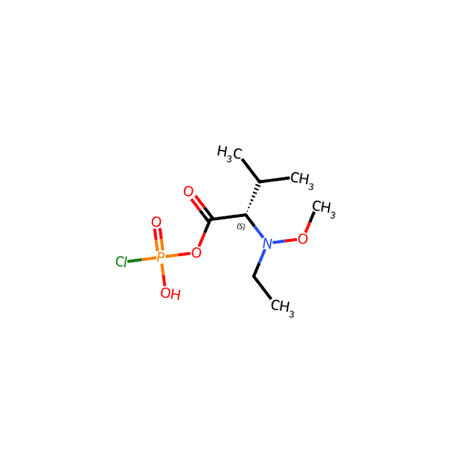 CCN(OC)[C@H](C(=O)OP(=O)(O)Cl)C(C)C